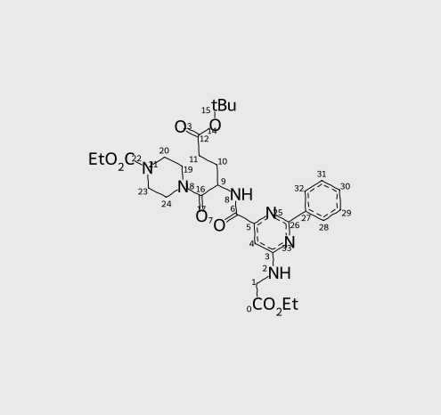 CCOC(=O)CNc1cc(C(=O)NC(CCC(=O)OC(C)(C)C)C(=O)N2CCN(C(=O)OCC)CC2)nc(-c2ccccc2)n1